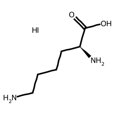 I.NCCCC[C@H](N)C(=O)O